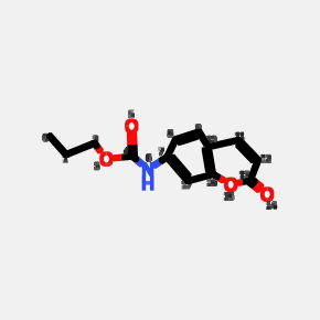 CCCOC(=O)Nc1ccc2ccc(=O)oc2c1